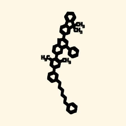 Cc1cc(-c2cccc(CCCCCCc3ccccc3)c2)cc(C)c1-c1ccc2nc(-c3ccc4c(c3)C(C)(C)c3ccccc3-4)cc(-c3ccccc3)c2c1